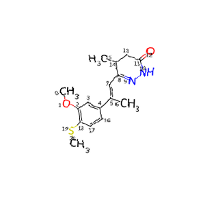 COc1cc(C(C)=CC2=NNC(=O)CC2C)ccc1SC